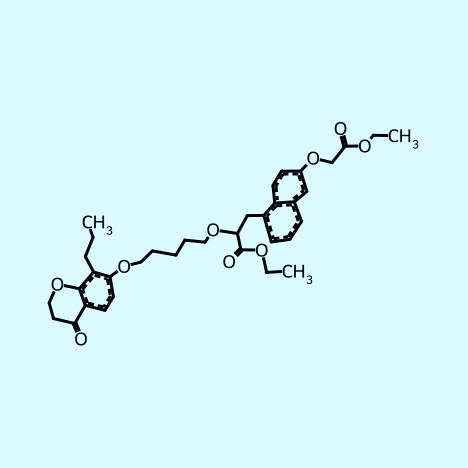 CCCc1c(OCCCCCOC(Cc2cccc3cc(OCC(=O)OCC)ccc23)C(=O)OCC)ccc2c1OCCC2=O